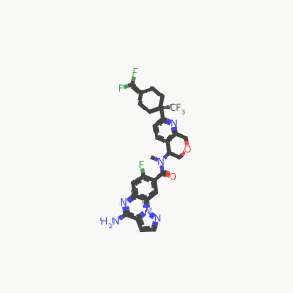 CN(C(=O)c1cc2c(cc1F)nc(N)c1ccnn12)C1COCc2nc(C3(C(F)(F)F)CCC(=C(F)F)CC3)ccc21